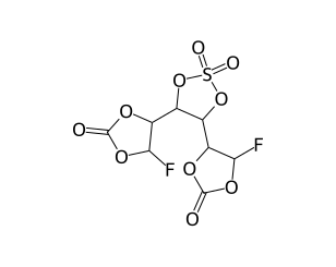 O=C1OC(F)C(C2OS(=O)(=O)OC2C2OC(=O)OC2F)O1